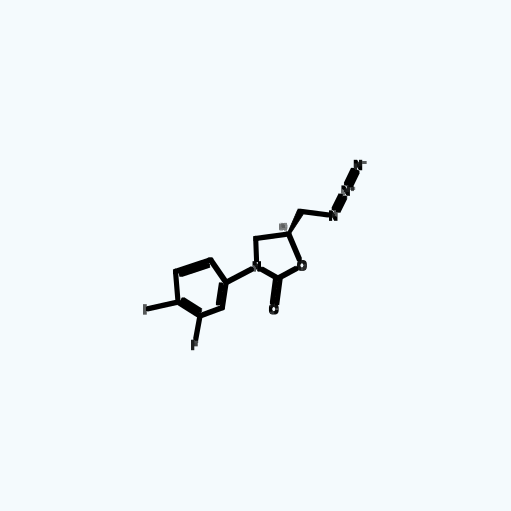 [N-]=[N+]=NC[C@@H]1CN(c2ccc(I)c(F)c2)C(=O)O1